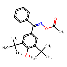 CC(=O)ON=C(c1ccccc1)c1cc(C(C)(C)C)c(O)c(C(C)(C)C)c1